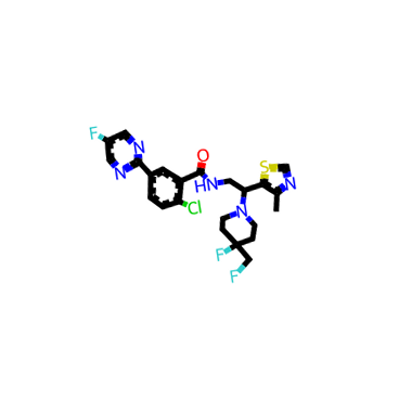 Cc1ncsc1C(CNC(=O)c1cc(-c2ncc(F)cn2)ccc1Cl)N1CCC(F)(CF)CC1